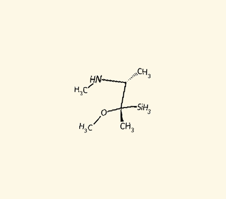 CN[C@H](C)[C@](C)([SiH3])OC